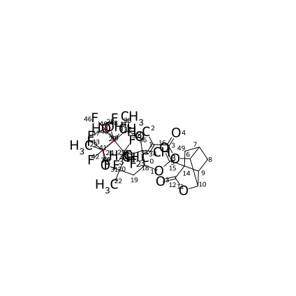 C=C(C)C(=O)OC1C2CC3C1OC(=O)C3(C(=O)OC(CC(C)(C)OC(C)C(C)(O)C(F)(F)F)C(C)(C)OC(C)C(O)(C(F)(F)F)C(F)(F)F)C2